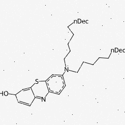 CCCCCCCCCCCCCCCN(CCCCCCCCCCCCCCC)c1ccc2c(c1)SC1=CC(O)C=CC1=N2